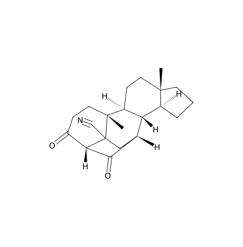 C[C@@]12CCC[C@H]1[C@@H]1[C@@H]3CC4(C#N)[C@@H](C(=O)CC[C@]4(C)[C@H]1CC2)C3=O